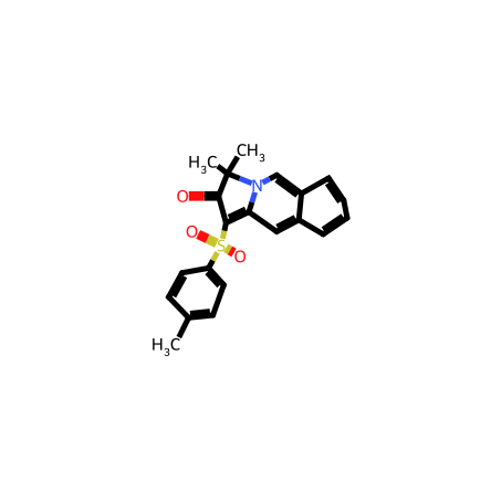 Cc1ccc(S(=O)(=O)C2=C3C=c4ccccc4=CN3C(C)(C)C2=O)cc1